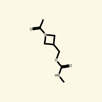 CNC(=O)OCC1CN(C(C)=O)C1